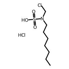 CCCCCCCN(CCl)S(=O)(=O)O.Cl